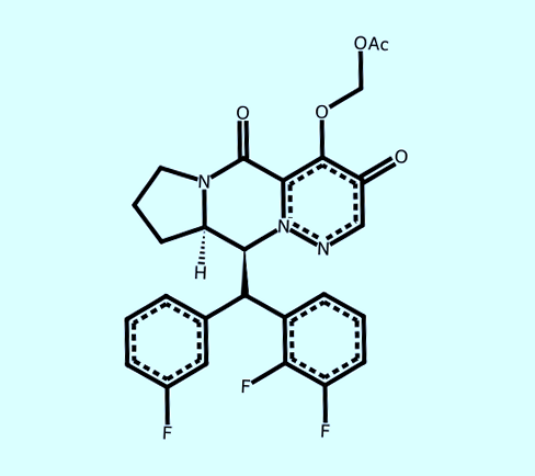 CC(=O)OCOc1c2n(ncc1=O)[C@@H](C(c1cccc(F)c1)c1cccc(F)c1F)[C@H]1CCCN1C2=O